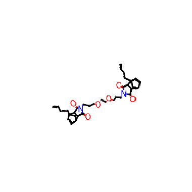 C=CCCC12C=CC(C1)C1C(=O)N(CCCOCCOCCCN3C(=O)C4C5C=CC(CCC=C)(C5)C4C3=O)C(=O)C12